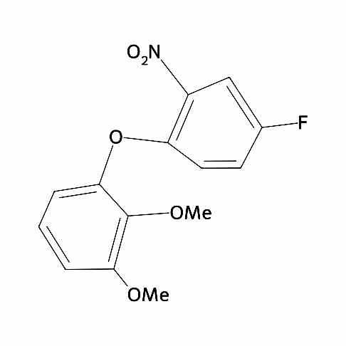 COc1cccc(Oc2ccc(F)cc2[N+](=O)[O-])c1OC